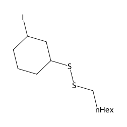 CCCCCCCSSC1CCCC(I)C1